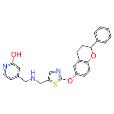 Oc1cc(CNCc2cnc(Oc3ccc4c(c3)CCC(c3ccccc3)O4)s2)ccn1